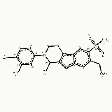 CC(=O)OCc1cc2cc3n(c2cc1S(C)(=O)=O)CCN(c1ncc(C(C)=O)c(C(F)(F)F)n1)C3C(C)C